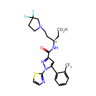 O=C(O)C[C@H](CCN1CCC(F)(F)C1)NC(=O)c1cc(-c2ccccc2C(F)(F)F)n(-c2nccs2)n1